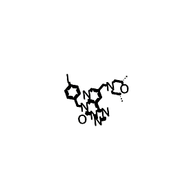 C[C@@H]1CN(Cc2cnc3c(c2)c2ncnn2c(=O)n3Cc2ccc(I)cc2)C[C@H](C)O1